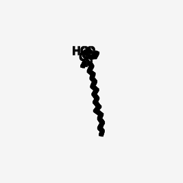 C=CC(N(CC)CCCCCCCCCCCCCCCCCC)S(=O)(=O)O